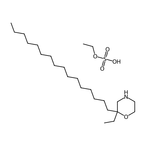 CCCCCCCCCCCCCCCCC1(CC)CNCCO1.CCOS(=O)(=O)O